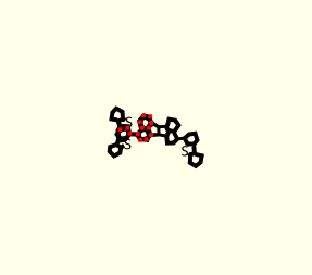 c1ccc2c(c1)sc1c(-c3ccc4c5c(cccc35)C35c6cccc7c(-c8cccc9c8sc8ccccc89)ccc(c67)C43c3ccc(-c4cccc6c4sc4ccccc46)c4cccc5c34)cccc12